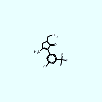 CCC1CC(N)=C(c2cc(Cl)cc(C(F)(F)F)c2)C1=O